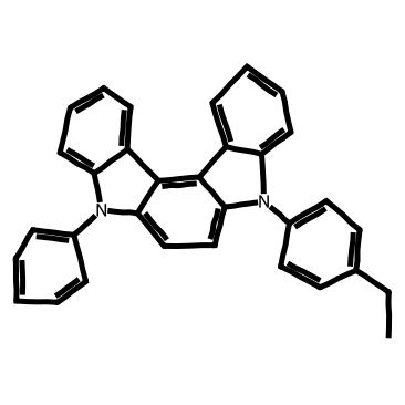 CCc1ccc(-n2c3ccccc3c3c4c5ccccc5n(-c5ccccc5)c4ccc32)cc1